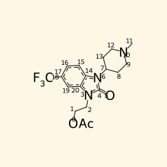 CC(=O)OCCn1c(=O)n(C2CCN(C)CC2)c2ccc(C(F)(F)F)cc21